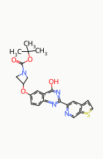 CC(C)(C)OC(=O)N1CC(Oc2ccc3nc(-c4cc5ccsc5cn4)nc(O)c3c2)C1